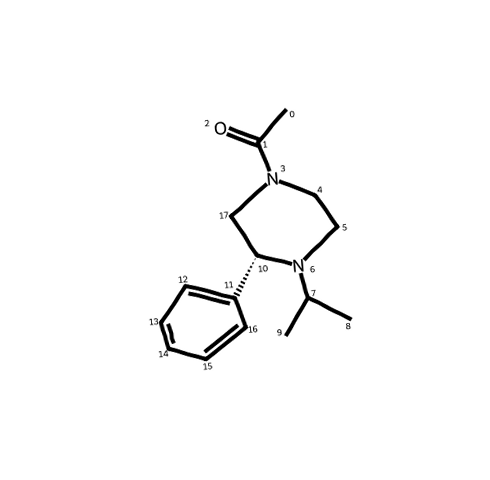 CC(=O)N1CCN(C(C)C)[C@H](c2ccccc2)C1